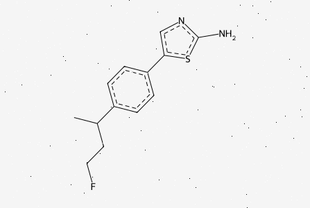 CC(CCF)c1ccc(-c2cnc(N)s2)cc1